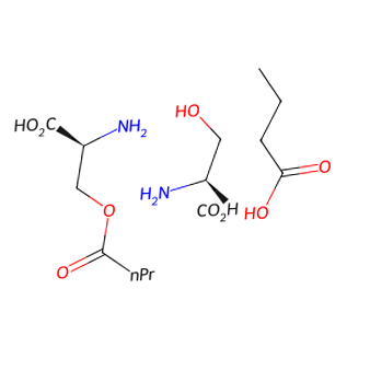 CCCC(=O)O.CCCC(=O)OC[C@H](N)C(=O)O.N[C@@H](CO)C(=O)O